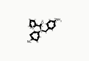 N#Cc1ccc(N(Cc2ccc(N)cc2)C(=O)c2cccs2)cc1